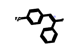 F/C(=C/c1ccc(C(F)(F)F)cc1)c1ccccc1